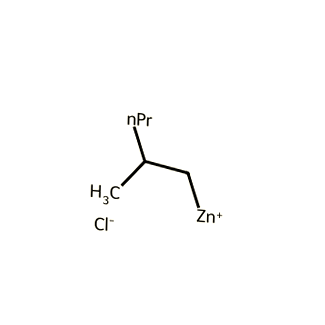 CCCC(C)[CH2][Zn+].[Cl-]